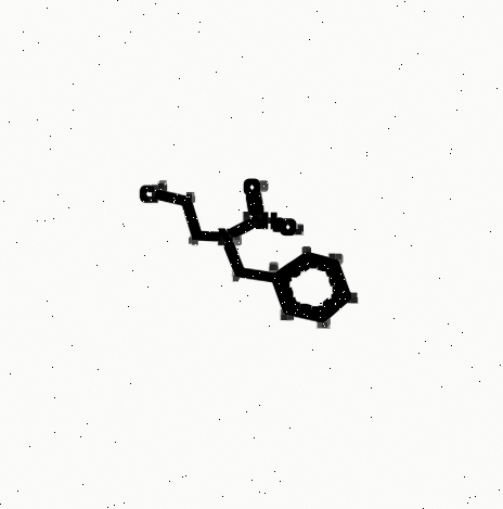 O=[SH](=O)N(CCCl)Cc1ccccc1